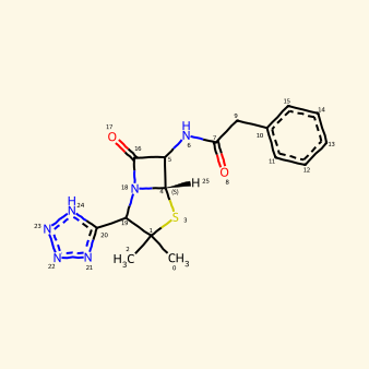 CC1(C)S[C@H]2C(NC(=O)Cc3ccccc3)C(=O)N2C1c1nnn[nH]1